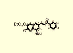 CCOC(=O)c1cc2cc(C=CC(=O)c3ccccc3)cc(C(C)CC)c2oc1=O